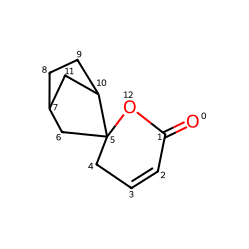 O=C1C=CCC2(CC3CCC2C3)O1